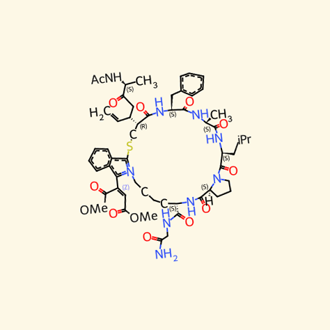 C=CC(CC(=O)[C@H](C)NC(C)=O)[C@H]1CSc2c3ccccc3c(/C(=C/C(=O)OC)C(=O)OC)n2CCCC[C@@H](C(=O)NCC(N)=O)NC(=O)[C@@H]2CCCN2C(=O)[C@H](CC(C)C)NC(=O)[C@H](C)NC(=O)[C@H](Cc2ccccc2)NC1=O